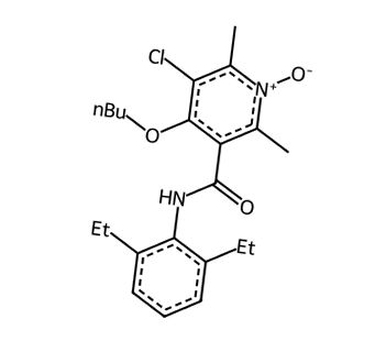 CCCCOc1c(Cl)c(C)[n+]([O-])c(C)c1C(=O)Nc1c(CC)cccc1CC